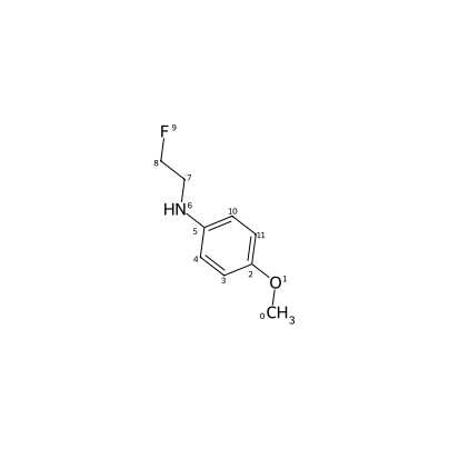 COc1ccc(NCCF)cc1